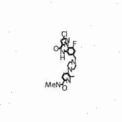 CNC(=O)c1ccc(N2CCN(Cc3cc(F)c4c(c3)[nH]c(=O)c3cc(Cl)nn34)CC2)c(C)n1